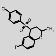 CC1CC(S(=O)(=O)c2ccc(Cl)cc2)c2cc(F)ccc2O1